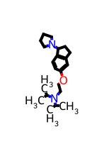 CC(C)N(CCOc1ccc2c(c1)CCC2N1CCCC1)C(C)C